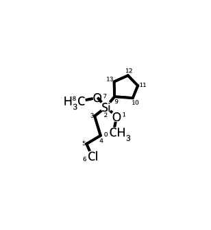 CO[Si](CCCCl)(OC)C1CCCC1